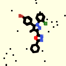 Cc1c(-c2nnc(C3CCCCC3)o2)nn(-c2ccccc2Cl)c1-c1ccc(Br)cc1